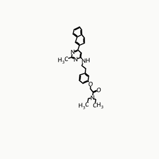 CCN(CC)C(=O)COc1cccc(CCNc2cc(-c3ccc4ccccc4c3)nc(C)n2)c1